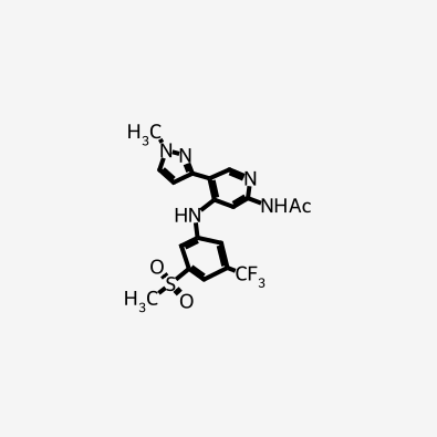 CC(=O)Nc1cc(Nc2cc(C(F)(F)F)cc(S(C)(=O)=O)c2)c(-c2ccn(C)n2)cn1